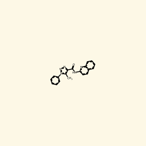 Cc1c(C(=O)Nc2ccc3ccccc3n2)nnn1-c1ccccc1